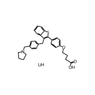 O=C(O)CCCOc1ccc(-c2sc3ccccc3c2Cc2ccc(CN3CCCC3)cc2)cc1.[LiH]